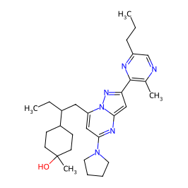 CCCc1cnc(C)c(-c2cc3nc(N4CCCC4)cc(CC(CC)C4CCC(C)(O)CC4)n3n2)n1